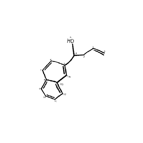 C=CCC(O)c1ccc2ccccc2c1